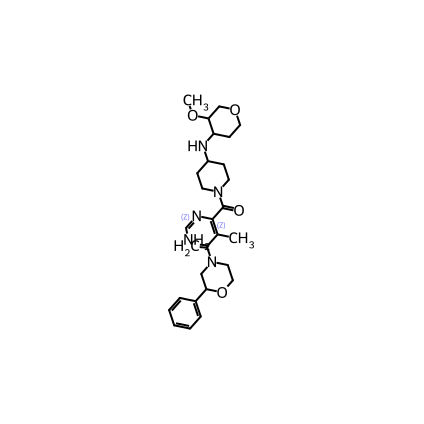 C=C(/C(C)=C(\N=C/N)C(=O)N1CCC(NC2CCOCC2OC)CC1)N1CCOC(c2ccccc2)C1